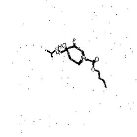 CCCCOC(=O)N1CCC(O)(CNC(C)C)C(F)C1